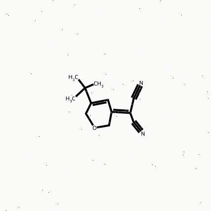 CC(C)(C)C1=CC(=C(C#N)C#N)COC1